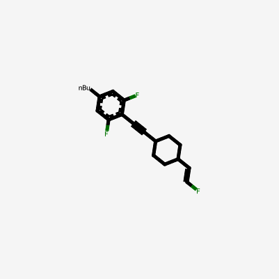 CCCCc1cc(F)c(C#CC2CCC(C=CF)CC2)c(F)c1